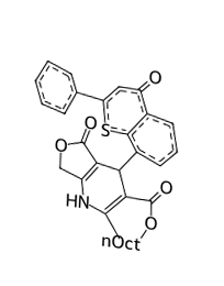 CCCCCCCCOC(=O)C1=C(C)NC2=C(C(=O)OC2)C1c1cccc2c(=O)cc(-c3ccccc3)sc12